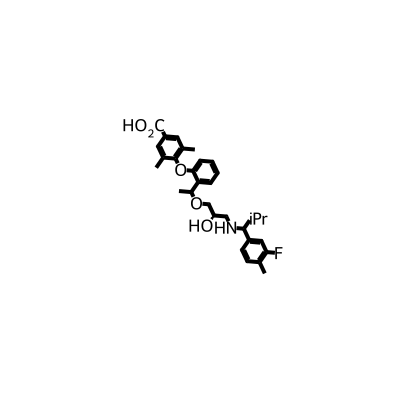 Cc1ccc(C(NC[C@@H](O)COC(C)c2ccccc2Oc2c(C)cc(C(=O)O)cc2C)C(C)C)cc1F